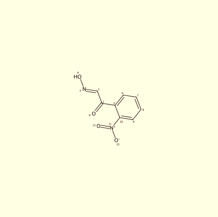 O=C(C=NO)c1ccccc1[N+](=O)[O-]